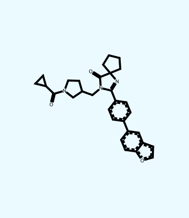 O=C(C1CC1)N1CCC(CN2C(=O)C3(CCCC3)N=C2c2ccc(-c3ccc4occc4c3)cc2)C1